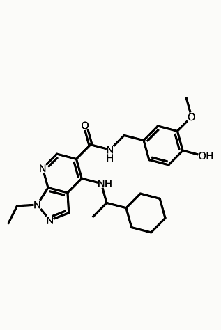 CCn1ncc2c(NC(C)C3CCCCC3)c(C(=O)NCc3ccc(O)c(OC)c3)cnc21